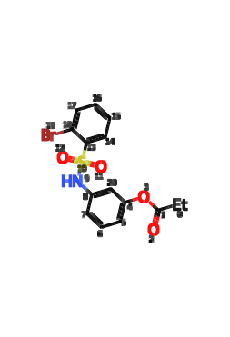 CCC(=O)Oc1cccc(NS(=O)(=O)c2ccccc2Br)c1